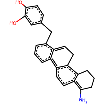 NC1=c2ccc3c(c2CCC1)CC=c1c(Cc2ccc(O)c(O)c2)cccc1=3